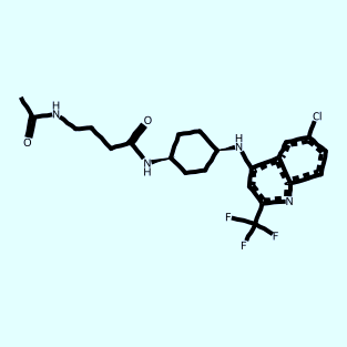 CC(=O)NCCCC(=O)N[C@H]1CC[C@@H](Nc2cc(C(F)(F)F)nc3ccc(Cl)cc23)CC1